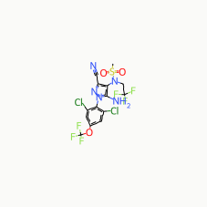 CS(=O)(=O)N(CC(F)(F)F)c1c(C#N)nn(-c2c(Cl)cc(OC(F)(F)F)cc2Cl)c1N